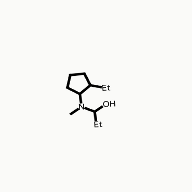 CCC1CCCC1N(C)C(O)CC